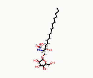 CCCCCCCCCCCCCC[C@@H](O)[C@@H](O)[C@H](COC1OC(CO)C(O)C(O)C1O)NC=O